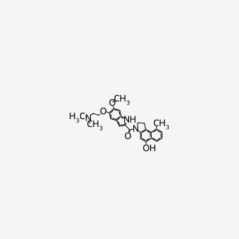 COc1cc2[nH]c(C(=O)N3CCc4c3cc(O)c3cccc(C)c43)cc2cc1OCCN(C)C